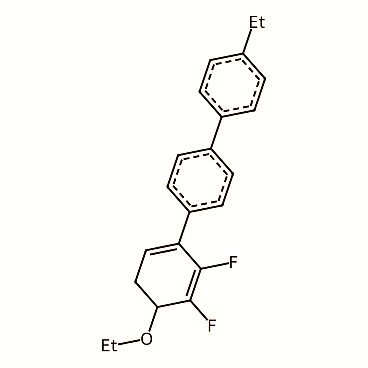 CCOC1CC=C(c2ccc(-c3ccc(CC)cc3)cc2)C(F)=C1F